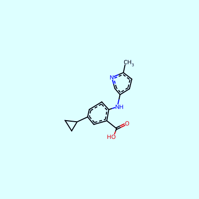 Cc1ccc(Nc2ccc(C3CC3)cc2C(=O)O)cn1